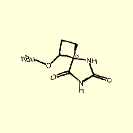 CCCCOC1CC[C@]12NC(=O)NC2=O